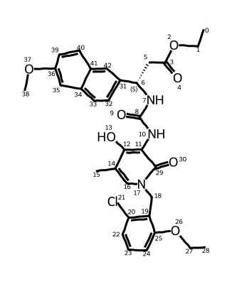 CCOC(=O)C[C@H](NC(=O)Nc1c(O)c(C)cn(Cc2c(Cl)cccc2OCC)c1=O)c1ccc2cc(OC)ccc2c1